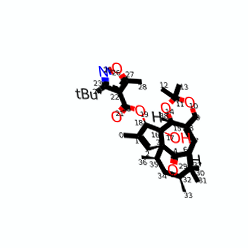 CC1=C[C@]23C(=O)[C@@H](C=C4COC(C)(C)O[C@H]4[C@]2(O)[C@H]1OC(=O)c1c(C(C)(C)C)noc1C)C(C)(C)[C@@H](C)C[C@H]3C